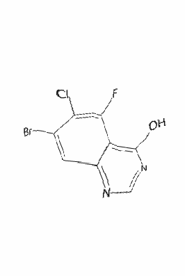 Oc1ncnc2cc(Br)c(Cl)c(F)c12